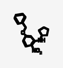 O=[N+]([O-])c1ccc(OCc2ccccc2)cc1NC1CCCC1